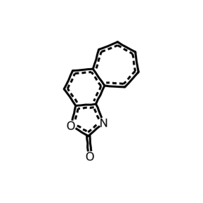 O=c1nc2c(ccc3cccccc32)o1